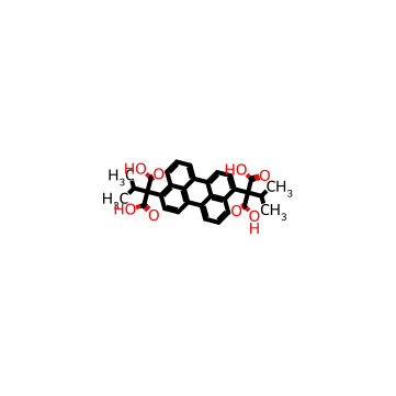 CC(C)C(C(=O)O)(C(=O)O)c1ccc2c3cccc4c(C(C(=O)O)(C(=O)O)C(C)C)ccc(c5cccc1c52)c43